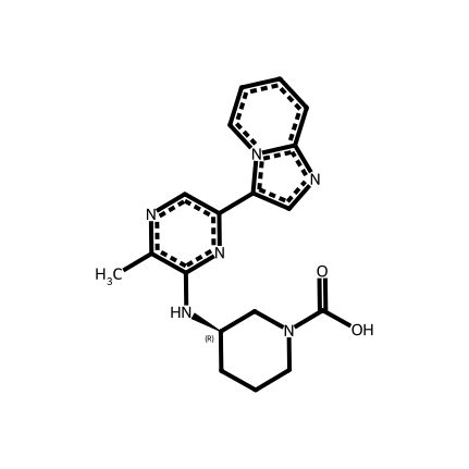 Cc1ncc(-c2cnc3ccccn23)nc1N[C@@H]1CCCN(C(=O)O)C1